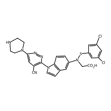 N#Cc1cc(N2CCNCC2)nnc1-n1ccc2cc(N(CC(=O)O)Sc3cc(Cl)cc(Cl)c3)ccc21